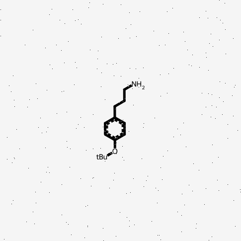 CC(C)(C)Oc1ccc(CCCN)cc1